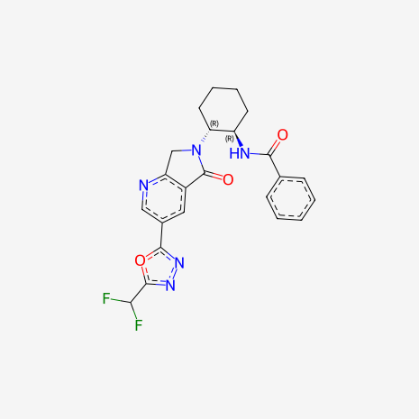 O=C(N[C@@H]1CCCC[C@H]1N1Cc2ncc(-c3nnc(C(F)F)o3)cc2C1=O)c1ccccc1